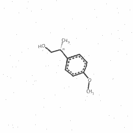 COc1ccc([C@@H](C)CO)cc1